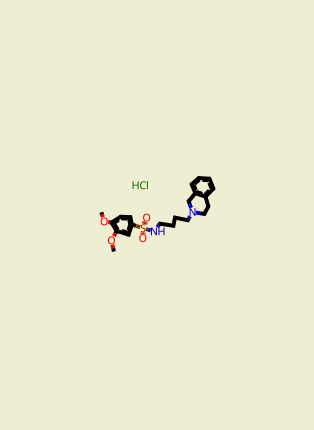 COc1ccc(S(=O)(=O)NCCCCN2CCc3ccccc3C2)cc1OC.Cl